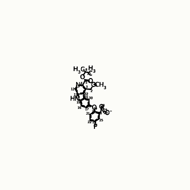 COCc1c(C(=O)OC(C)C)ncc2[nH]c3ccc(Oc4ccc(F)cc4[N+](=O)[O-])cc3c12